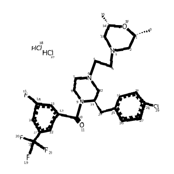 C[C@@H]1CN(CCN2CCN(C(=O)c3cc(F)cc(C(F)(F)F)c3)[C@H](Cc3ccc(Cl)cc3)C2)C[C@H](C)O1.Cl.Cl